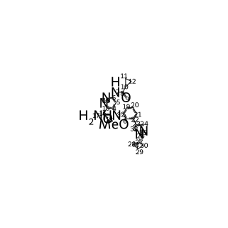 COc1c(Nc2cc(NC(=O)C3CC3)nnc2C(N)=O)cccc1-c1cnn(C23CC(C2)C3)c1